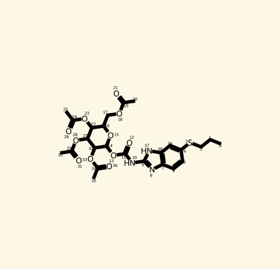 CCCSc1ccc2nc(NC(=O)OC3OC(COC(C)=O)C(OC(C)=O)C(OC(C)=O)C3OC(C)=O)[nH]c2c1